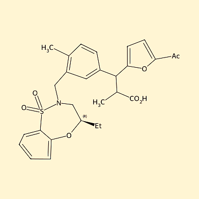 CC[C@@H]1CN(Cc2cc(C(c3ccc(C(C)=O)o3)C(C)C(=O)O)ccc2C)S(=O)(=O)c2ccccc2O1